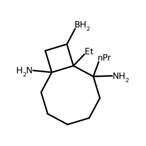 BC1CC2(N)CCCCCC(N)(CCC)C12CC